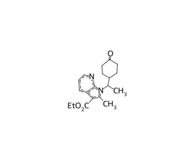 CCOC(=O)c1c(C)n(C(C)C2CCC(=O)CC2)c2ncccc12